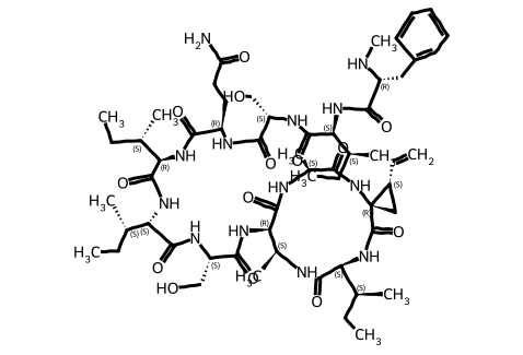 C=C[C@@H]1C[C@@]12NC(=O)[C@H](C)NC(=O)[C@H](NC(=O)[C@H](CO)NC(=O)[C@@H](NC(=O)[C@H](NC(=O)[C@@H](CCC(N)=O)NC(=O)[C@H](CO)NC(=O)[C@@H](NC(=O)[C@@H](Cc1ccccc1)NC)[C@@H](C)CC)[C@@H](C)CC)[C@@H](C)CC)[C@H](C)NC(=O)[C@H]([C@@H](C)CC)NC2=O